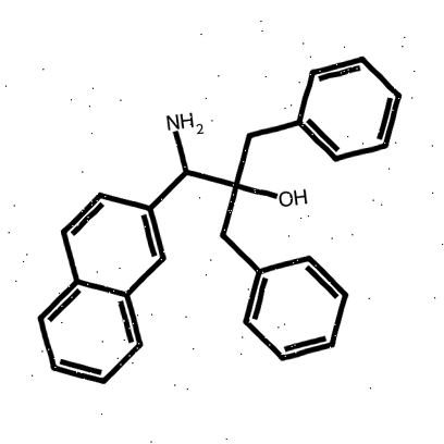 NC(c1ccc2ccccc2c1)C(O)(Cc1ccccc1)Cc1ccccc1